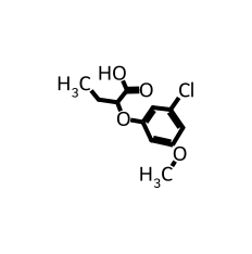 CCC(Oc1cc(Cl)cc(OC)c1)C(=O)O